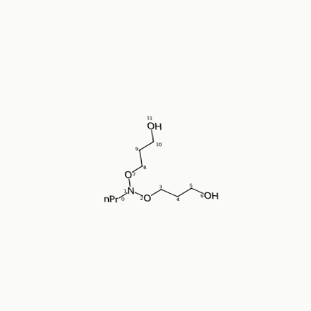 CCCN(OCCCO)OCCCO